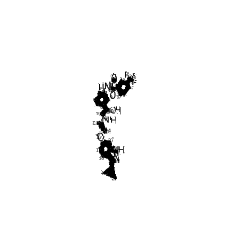 O=S(=O)(Nc1cccc(C(O)CNCCOc2ccc3c(C4CC4)n[nH]c3c2)c1)c1cccc(C(F)(F)F)c1